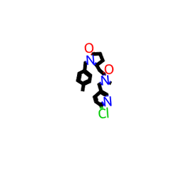 Cc1ccc(CN2C(=O)CCC2CC(=O)N(C)Cc2ccc(Cl)nc2)cc1